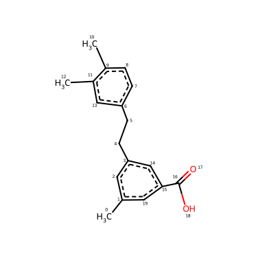 Cc1cc(CCc2ccc(C)c(C)c2)cc(C(=O)O)c1